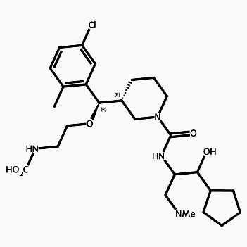 CNCC(NC(=O)N1CCC[C@@H]([C@@H](OCCNC(=O)O)c2cc(Cl)ccc2C)C1)C(O)C1CCCC1